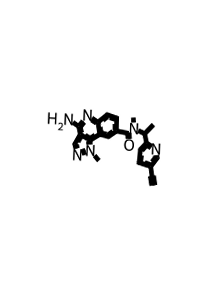 C#Cc1ccc(C(C)N(C)C(=O)c2ccc3nc(N)c4cnn(C)c4c3c2)nc1